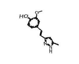 COc1cc(/C=C/c2cc(C)[nH]n2)ccc1O